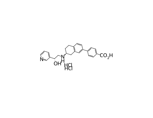 Cl.Cl.O=C(O)c1ccc(-c2ccc3c(c2)C[C@@H](NC[C@H](O)c2cccnc2)CC3)cc1